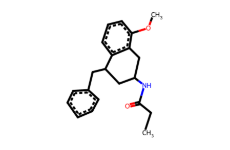 CCC(=O)NC1Cc2c(OC)cccc2C(Cc2ccccc2)C1